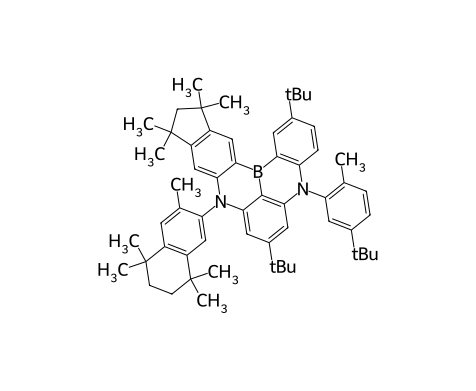 Cc1ccc(C(C)(C)C)cc1N1c2ccc(C(C)(C)C)cc2B2c3cc4c(cc3N(c3cc5c(cc3C)C(C)(C)CCC5(C)C)c3cc(C(C)(C)C)cc1c32)C(C)(C)CC4(C)C